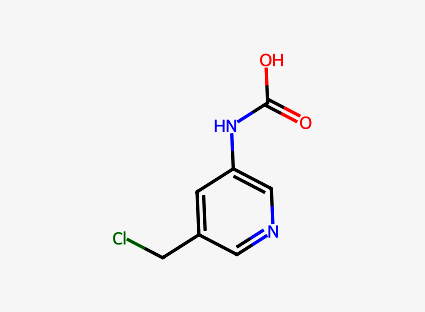 O=C(O)Nc1cncc(CCl)c1